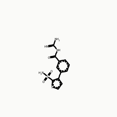 N=C(N)NC(=O)c1cccc(-c2ccsc2S(N)(=O)=O)c1